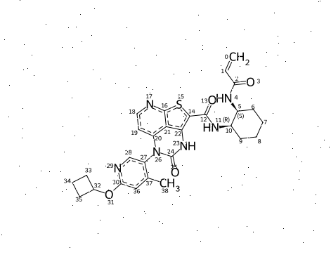 C=CC(=O)N[C@H]1CCCC[C@H]1NC(=O)c1sc2nccc3c2c1NC(=O)N3c1cnc(OC2CCC2)cc1C